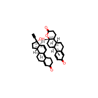 C#C[C@]1(O)CC[C@H]2[C@@H]3CCC4=CC(=O)CCC4=C3C=C[C@@]21CC.C[C@]12C=CC(=O)C=C1CC[C@@H]1[C@@H]2CC[C@]2(C)OC(=O)CC[C@@H]12